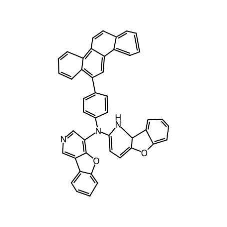 C1=C2Oc3ccccc3C2NC(N(c2ccc(-c3cc4c5ccccc5ccc4c4ccccc34)cc2)c2cncc3c2oc2ccccc23)=C1